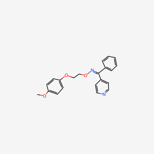 COc1ccc(OCCON=C(c2ccccc2)c2ccncc2)cc1